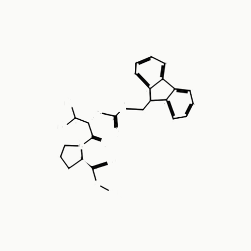 COC(=O)[C@H]1CCCN1C(=O)[C@@H](NC(=O)OCC1c2ccccc2-c2ccccc21)C(C)C